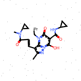 Cc1nn2c(O)c(C(=O)NC3CC3)c(=O)n(CC(C)C)c2c1C=CC(=O)N(C)C1CC1